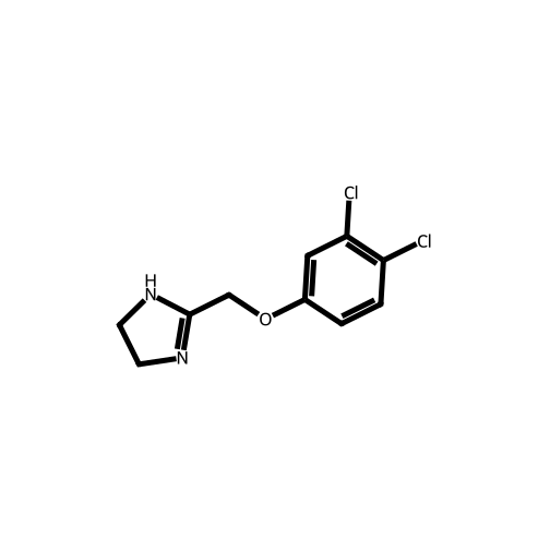 Clc1ccc(OCC2=NCCN2)cc1Cl